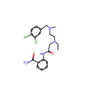 CCN(CCN(C)Cc1ccc(Cl)c(Cl)c1)CC(=O)Nc1ccccc1C(N)=O